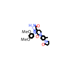 COc1ccc(-n2nc(C(N)=O)c3c2C(=O)N(c2ccc(N4CCCC4=O)c(C)c2)CC3)c(OC)c1